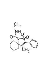 [CH2]C1=C(c2ccccc2)S(=O)(=O)N(C(=O)NCC)C12CCCCC2